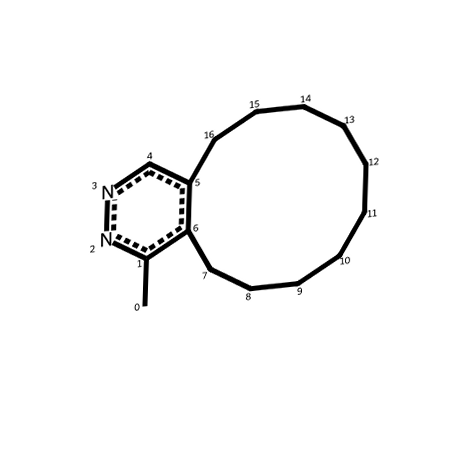 Cc1nncc2c1CCCCCCCCCC2